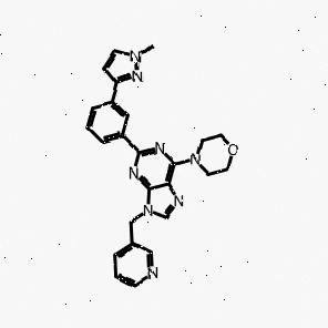 Cn1ccc(-c2cccc(-c3nc(N4CCOCC4)c4ncn(Cc5cccnc5)c4n3)c2)n1